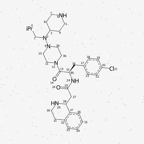 CC(C)CN(C1CCNCC1)N1CCN(C(=O)[C@@H](Cc2ccc(Cl)cc2)NC(=O)CC2NCCc3ccccc32)CC1